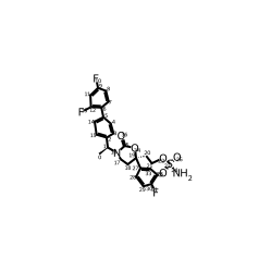 C[C@@H](c1ccc(-c2ccc(F)cc2F)cc1)N1CC[C@](CCOS(N)(=O)=O)(c2ccc(F)cc2)OC1=O